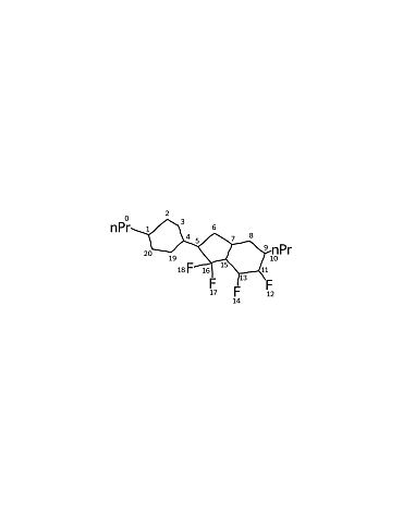 CCCC1CCC(C2CC3CC(CCC)C(F)C(F)C3C2(F)F)CC1